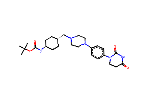 CC(C)(C)OC(=O)N[C@H]1CC[C@H](CN2CCN(c3ccc(N4CCC(=O)NC4=O)cc3)CC2)CC1